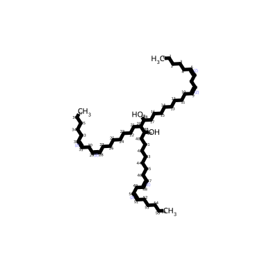 CCCCC/C=C\C/C=C\CCCCCCCCC(O)C(CCCCCCC/C=C\C/C=C\CCCCC)C(O)CCCCCCC/C=C\C/C=C\CCCCC